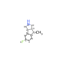 CC1c2ccc(F)cc2C2CNCC12